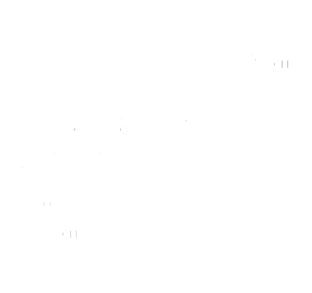 COCC1(CCOCc2ccc(OC)cc2)CC1